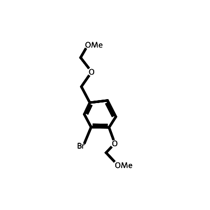 COCOCc1ccc(OCOC)c(Br)c1